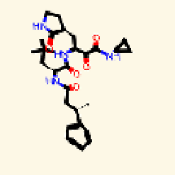 C[C@@H](CC(=O)N[C@@H](CC(C)(C)C)C(=O)NC(C[C@@H]1CCNC1=O)C(=O)C(=O)NC1CC1)c1ccccc1